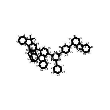 CC1(C)c2ccccc2-c2ccc(-c3ccc(-c4nc(-c5ccccc5)nc(-c5ccc(-c6cccc7c6sc6ccccc67)cc5)n4)c4c3C3(c5ccccc5-4)C4CC5CC(C4)CC3C5)cc21